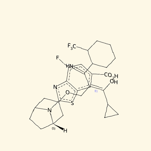 N=C(/C(COC1CC2CC[C@@H](C1)N2c1nc2c(F)cc(C(=O)O)cc2s1)=C(\O)C1CC1)C1CCCCC1C(F)(F)F